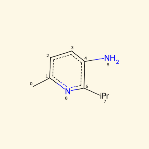 Cc1ccc(N)c(C(C)C)n1